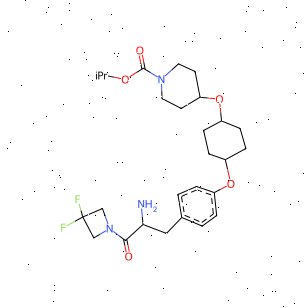 CC(C)OC(=O)N1CCC(OC2CCC(Oc3ccc(CC(N)C(=O)N4CC(F)(F)C4)cc3)CC2)CC1